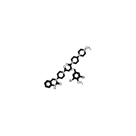 Cc1c(Br)cc(C[C@H](CC(=O)N2CCC(N3Cc4ccccc4NC3=O)CC2)C(=O)N2CCC(N3CCN(C)CC3)CC2)cc1Br